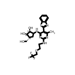 Cc1nc(NCCOCC(F)(F)F)nc(NC2C[C@H](CO)[C@@H](O)[C@H]2O)c1-c1nc2ccccc2s1